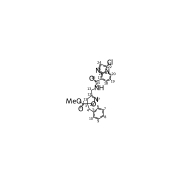 COC(=O)C1(Cc2ccccc2)CC(CNC(=O)c2cccn3c(Cl)cnc23)=NO1